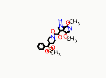 COc1ncc(OC)c2c(C(=O)C(=O)N3CCC(=C(c4ccccc4)S(C)(=O)=O)CC3)c[nH]c12